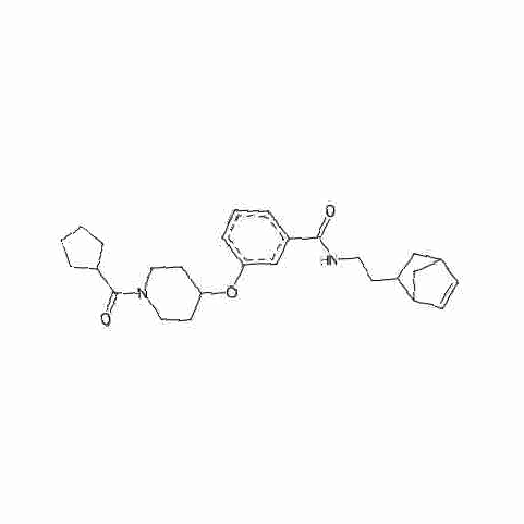 O=C(NCCC1CC2C=CC1C2)c1cccc(OC2CCN(C(=O)C3CCCC3)CC2)c1